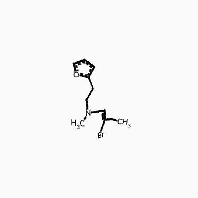 CC(Br)=CN(C)CCc1ccco1